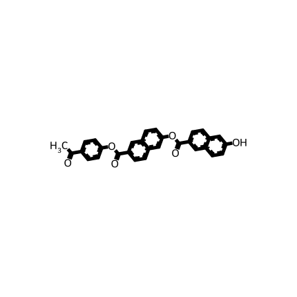 CC(=O)c1ccc(OC(=O)c2ccc3cc(OC(=O)c4ccc5cc(O)ccc5c4)ccc3c2)cc1